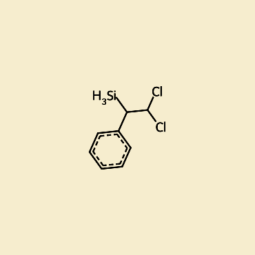 [SiH3]C(c1ccccc1)C(Cl)Cl